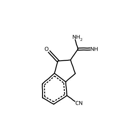 N#Cc1cccc2c1CC(C(=N)N)C2=O